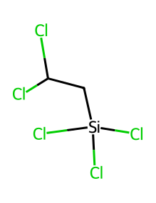 ClC(Cl)C[Si](Cl)(Cl)Cl